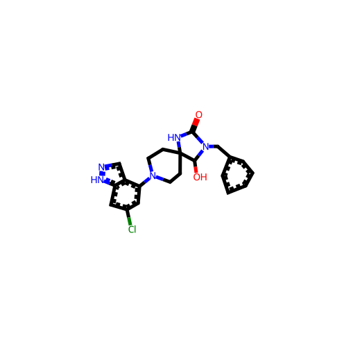 O=C1NC2(CCN(c3cc(Cl)cc4[nH]ncc34)CC2)C(O)N1Cc1ccccc1